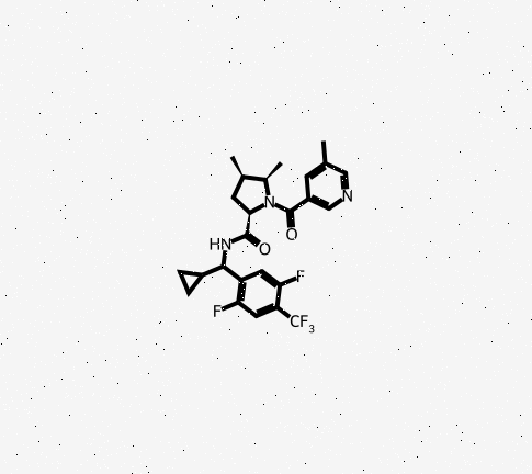 Cc1cncc(C(=O)N2[C@@H](C(=O)NC(c3cc(F)c(C(F)(F)F)cc3F)C3CC3)C[C@@H](C)[C@H]2C)c1